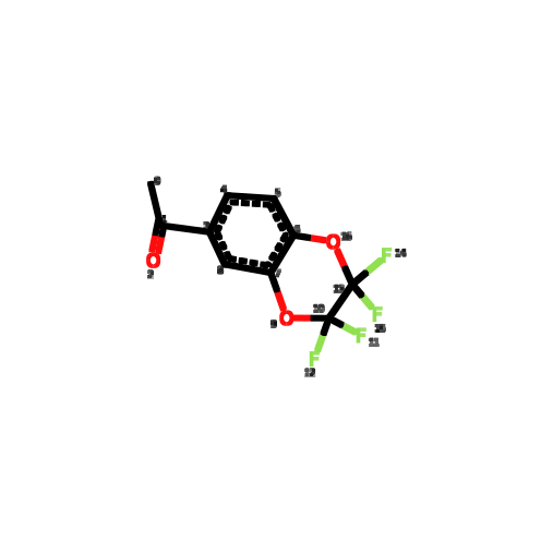 CC(=O)c1ccc2c(c1)OC(F)(F)C(F)(F)O2